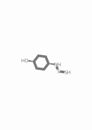 O[C@H]1CC[C@@H](NSS)CC1